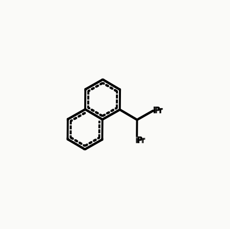 CC(C)C(c1cccc2ccccc12)C(C)C